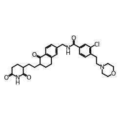 O=C1CCC(CCC2CCc3cc(CNC(=O)c4ccc(CCN5CCOCC5)c(Cl)c4)ccc3C2=O)C(=O)N1